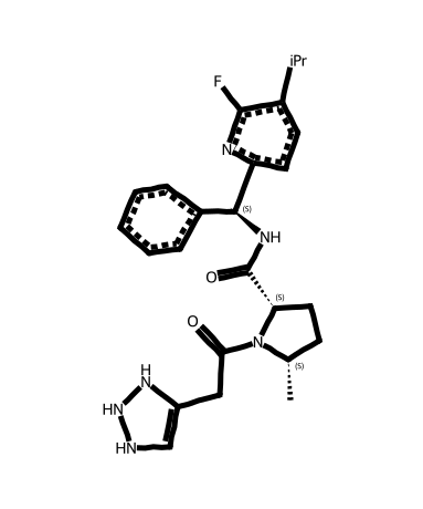 CC(C)c1ccc([C@@H](NC(=O)[C@@H]2CC[C@H](C)N2C(=O)CC2=CNNN2)c2ccccc2)nc1F